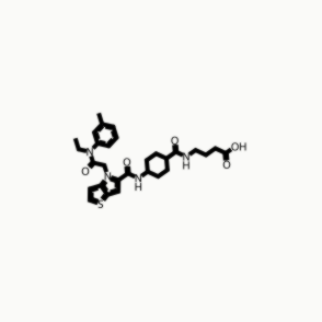 CCN(C(=O)Cn1c(C(=O)NC2CCC(C(=O)NCCCC(=O)O)CC2)cc2sccc21)c1cccc(C)c1